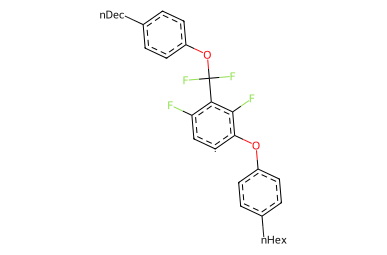 CCCCCCCCCCc1ccc(OC(F)(F)c2c(F)c[c]c(Oc3ccc(CCCCCC)cc3)c2F)cc1